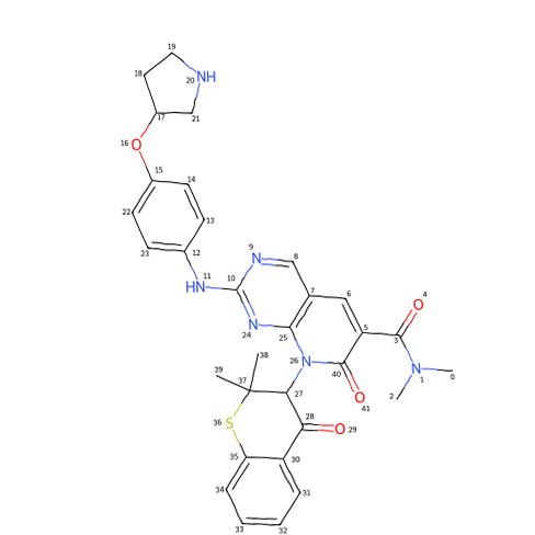 CN(C)C(=O)c1cc2cnc(Nc3ccc(OC4CCNC4)cc3)nc2n(C2C(=O)c3ccccc3SC2(C)C)c1=O